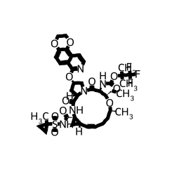 CC[C@@H]1O[C@H](C)CC/C=C\[C@@H]2C[C@@]2(C(=O)NS(=O)(=O)C2(C)CC2)NC(=O)[C@@H]2C[C@@H](Oc3nccc4c5c(ccc34)OCCO5)CN2C(=O)[C@H]1NC(=O)OC(C)(C)C(F)(F)F